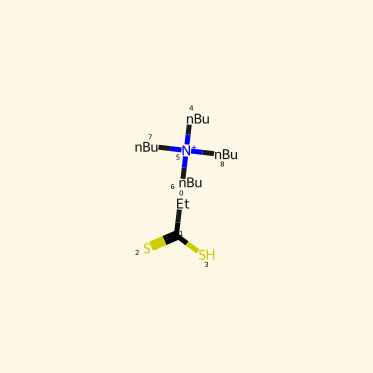 CCC(=S)S.CCCC[N+](CCCC)(CCCC)CCCC